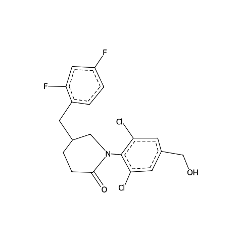 O=C1CCC(Cc2ccc(F)cc2F)CN1c1c(Cl)cc(CO)cc1Cl